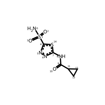 NS(=O)(=O)c1nnc(NC(=O)C2CC2)s1